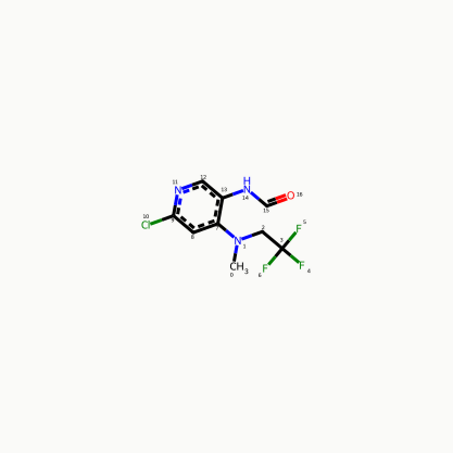 CN(CC(F)(F)F)c1cc(Cl)ncc1N[C]=O